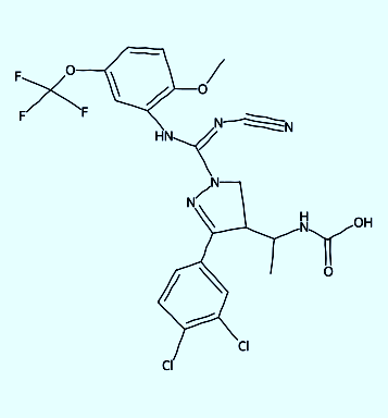 COc1ccc(OC(F)(F)F)cc1NC(=NC#N)N1CC(C(C)NC(=O)O)C(c2ccc(Cl)c(Cl)c2)=N1